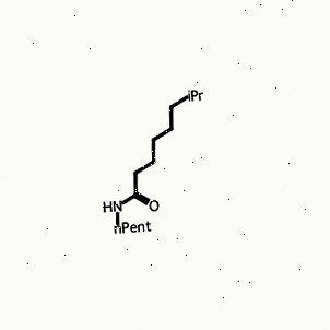 CCCCCNC(=O)CCCCCC(C)C